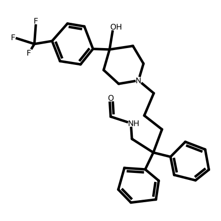 O=CNCC(CCCN1CCC(O)(c2ccc(C(F)(F)F)cc2)CC1)(c1ccccc1)c1ccccc1